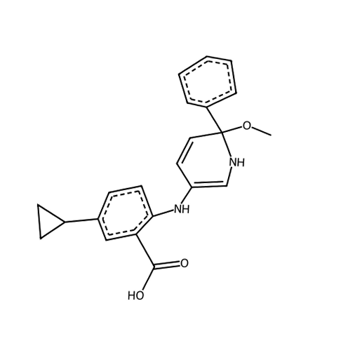 COC1(c2ccccc2)C=CC(Nc2ccc(C3CC3)cc2C(=O)O)=CN1